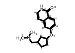 CN(C)CC1CCC(Oc2ccc3c(=O)[nH]ccc3c2)C1